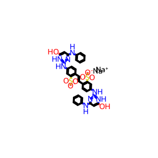 O=S(=O)([O-])c1cc(NN2N=C(Nc3ccccc3)C=C(O)N2)ccc1/C=C/c1ccc(NN2N=C(Nc3ccccc3)C=C(O)N2)cc1S(=O)(=O)[O-].[Na+].[Na+]